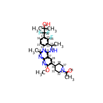 COc1nc2nc(C)nc(NC(C)c3cccc(C(F)(F)C(C)(C)O)c3F)c2cc1C1CCN(C(C)=O)CC1